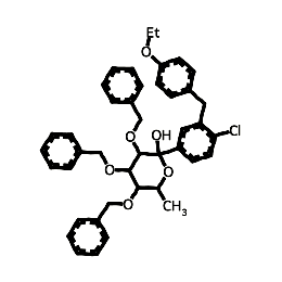 CCOc1ccc(Cc2cc(C3(O)OC(C)C(OCc4ccccc4)C(OCc4ccccc4)C3OCc3ccccc3)ccc2Cl)cc1